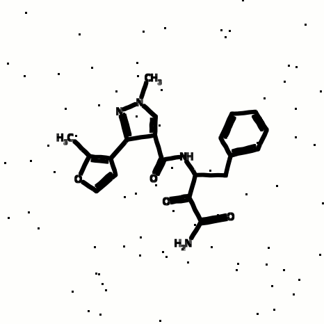 Cc1occc1-c1nn(C)cc1C(=O)NC(Cc1ccccc1)C(=O)C(N)=O